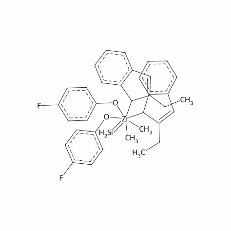 CCC1=Cc2ccccc2[CH]1[Zr]([CH3])([CH3])(=[SiH2])([O]c1ccc(F)cc1)([O]c1ccc(F)cc1)[CH]1C(CC)=Cc2ccccc21